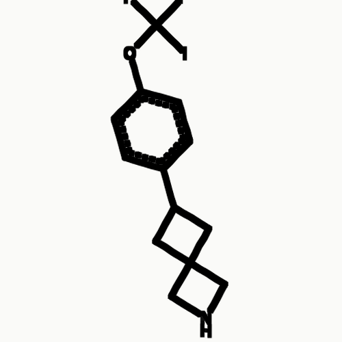 FC(F)(I)Oc1ccc(C2CC3(CNC3)C2)cc1